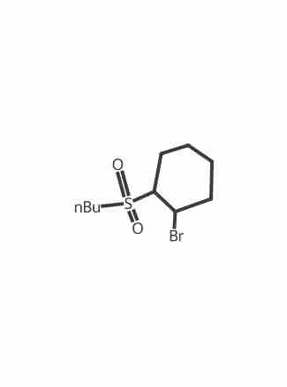 CCCCS(=O)(=O)C1CCCCC1Br